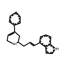 C1=C(c2ccccc2)CC(C/C=C/c2cccc3[nH]ccc23)NC1